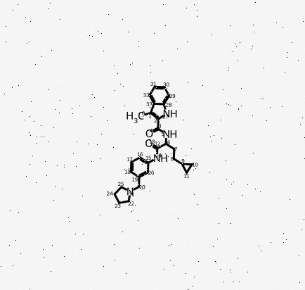 Cc1c(C(=O)NC(CCC2CC2)C(=O)Nc2cccc(CN3CCCC3)c2)[nH]c2ccccc12